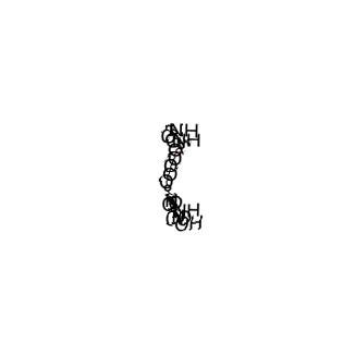 CC(C)(C)c1cc(C(C)(C)C)c(OCCOCCOCCOCCOc2ccc(C3CCN(S(=O)(=O)c4ccc5c(c4)NCN(CC(=O)O)C5=O)CC3)cc2)cc1NC(=O)c1c[nH]c2ccccc2c1=O